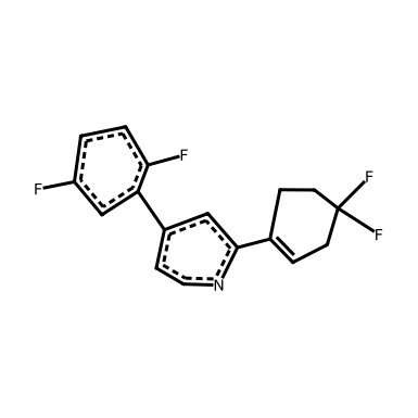 Fc1ccc(F)c(-c2ccnc(C3=CCC(F)(F)CC3)c2)c1